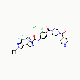 Cl.Cn1c(-c2cn(C3CCC3)nc2C(F)(F)F)cnc1C(=O)Nc1ccc(C(=O)N2CCN(C(=O)C3CCNCC3)CC2)c(Cl)c1